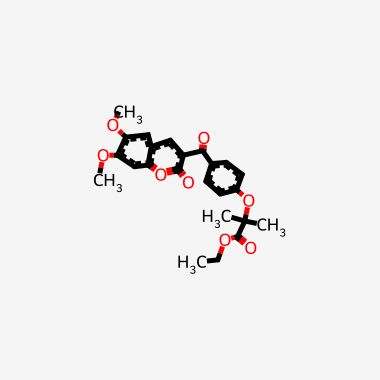 CCOC(=O)C(C)(C)Oc1ccc(C(=O)c2cc3cc(OC)c(OC)cc3oc2=O)cc1